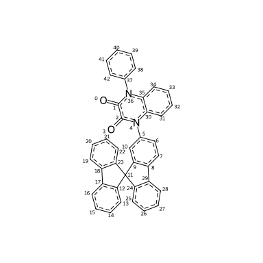 O=c1c(=O)n(-c2ccc3c(c2)C2(c4ccccc4-c4ccccc42)c2ccccc2-3)c2ccccc2n1-c1ccccc1